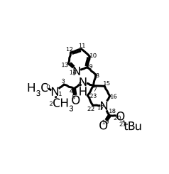 CN(C)CC(=O)NC1(Cc2ccccn2)CCN(C(=O)OC(C)(C)C)CC1